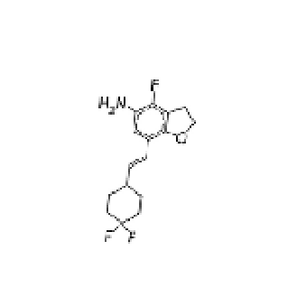 Nc1cc(/C=C/C2CCC(F)(F)CC2)c2c(c1F)CCO2